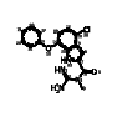 CN(C(=N)N)C(=O)c1cc2c(Cl)ccc(Oc3ccccc3)c2[nH]1